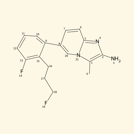 Cc1c(N)nc2ccc(-c3cccc(F)c3CCCF)cn12